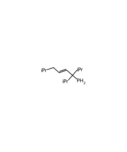 CC(C)CC=CC(P)(C(C)C)C(C)C